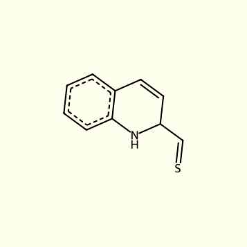 S=CC1C=Cc2ccccc2N1